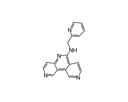 c1ccc(CNc2nc3ccncc3c3cnccc23)nc1